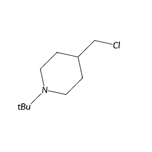 CC(C)(C)N1CCC(CCl)CC1